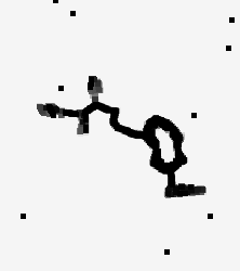 CCCN[C@H](CC)CCc1cccc(OC)c1